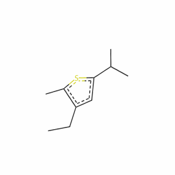 CCc1cc(C(C)C)sc1C